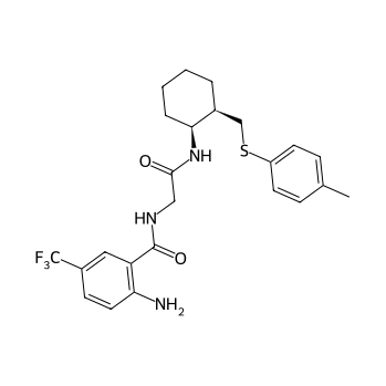 Cc1ccc(SC[C@@H]2CCCC[C@@H]2NC(=O)CNC(=O)c2cc(C(F)(F)F)ccc2N)cc1